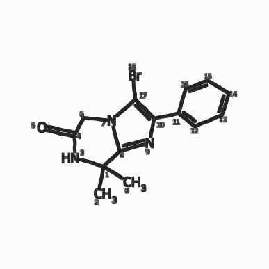 CC1(C)NC(=O)Cn2c1nc(-c1ccccc1)c2Br